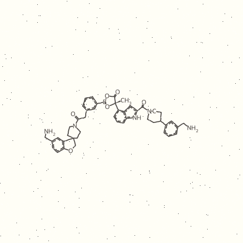 C[C@@]1(c2cccc3[nH]c(C(=O)N4CCC(c5cccc(CN)c5)CC4)cc23)OB(c2cccc(CC(=O)N3CCC4(CC3)COc3ccc(CN)cc34)c2)OC1=O